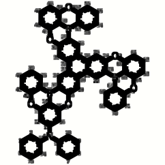 c1ccc(N(c2ccccc2)c2cc3c4c(c2)Oc2cc5c6cc7c(cc6c6cc8c(cc6c5cc2B4c2ccccc2O3)Oc2cccc3c2B8c2ccccc2O3)Oc2cccc3c2B7c2ccccc2O3)cc1